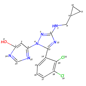 Oc1cc(-n2nc(NCC3CC3)nc2-c2cccc(Cl)c2Cl)ncn1